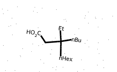 CCCCCCC(CC)(CCCC)CC(=O)O